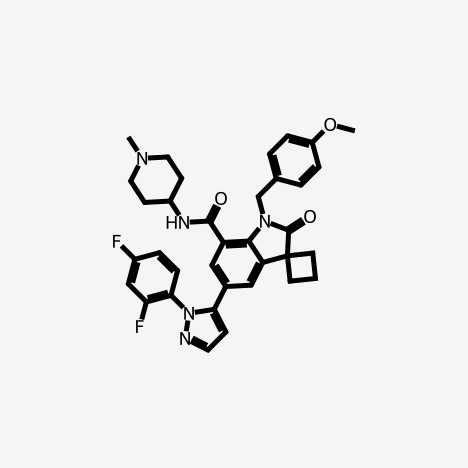 COc1ccc(CN2C(=O)C3(CCC3)c3cc(-c4ccnn4-c4ccc(F)cc4F)cc(C(=O)NC4CCN(C)CC4)c32)cc1